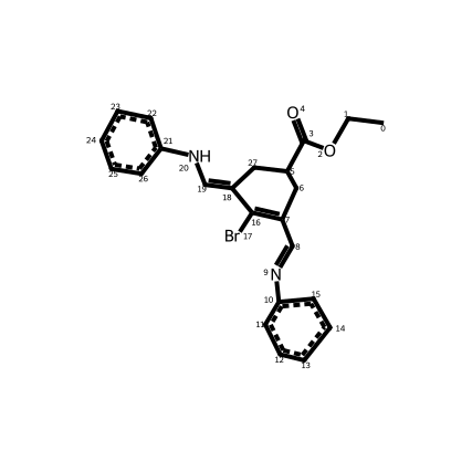 CCOC(=O)C1CC(/C=N/c2ccccc2)=C(Br)C(=C/Nc2ccccc2)/C1